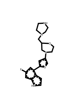 Fc1cc(-c2cc(N3CCOC(CN4CCNCC4)C3)cs2)c2cc[nH]c2c1